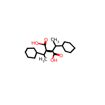 CC(C(C(=O)O)=C(C(=O)O)C(C)C1CCCCC1)C1CCCCC1